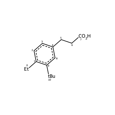 CCc1ccc(CCC(=O)O)cc1C(C)(C)C